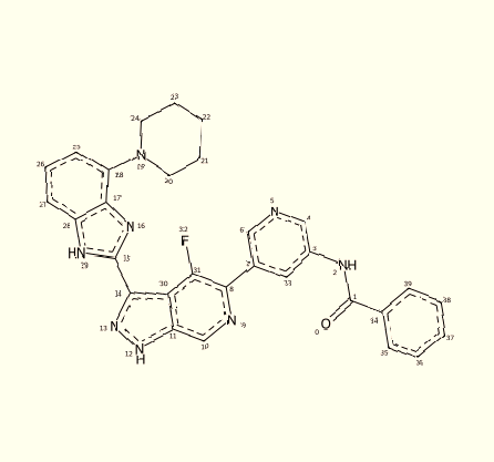 O=C(Nc1cncc(-c2ncc3[nH]nc(-c4nc5c(N6CCCCC6)cccc5[nH]4)c3c2F)c1)c1ccccc1